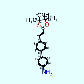 CC1(C)OB(C=Cc2ccc(-c3ccc(N)cc3)cc2)OC1(C)C